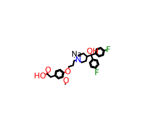 COc1cc(CC(=O)O)ccc1OCCCN1CCC(C(O)(c2ccc(F)cc2)c2ccc(F)cc2)CC1.[Na]